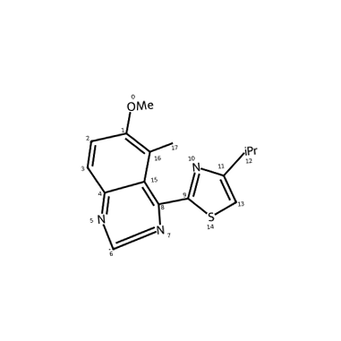 COc1ccc2n[c]nc(-c3nc(C(C)C)cs3)c2c1C